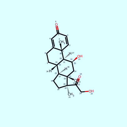 C[C@]12C=CC(=O)C=C1CC[C@@H]1[C@@H]2[C@@H](O)C[C@@]2(C)[C@H]1CC[C@]2(C)C(=O)CO